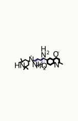 COc1cc(C)nc2cc(O)c(/C(N)=C/C=C(\N)N(C)C3CC(C)(C)NC(C)(C)C3)cc12